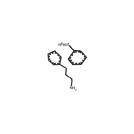 CCCCCc1ccccc1.NCCCc1ccccc1